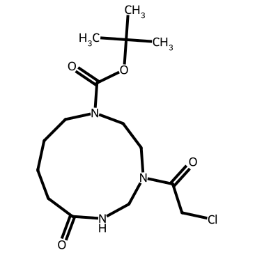 CC(C)(C)OC(=O)N1CCCCC(=O)NCN(C(=O)CCl)CC1